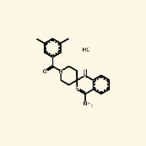 Cc1cc(C)cc(C(=O)N2CCC3(CC2)N=C(N)c2ccccc2N3)c1.Cl